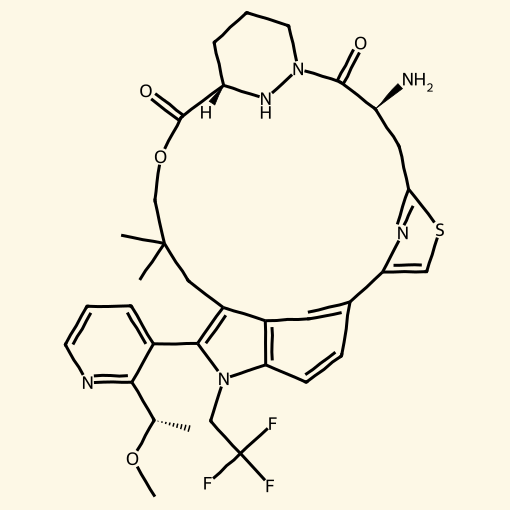 CO[C@@H](C)c1ncccc1-c1c2c3cc(ccc3n1CC(F)(F)F)-c1csc(n1)C[C@H](N)C(=O)N1CCC[C@H](N1)C(=O)OCC(C)(C)C2